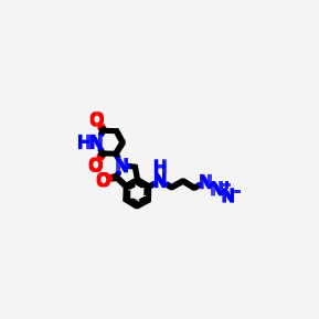 [N-]=[N+]=NCCCNc1cccc2c1CN(C1CCC(=O)NC1=O)C2=O